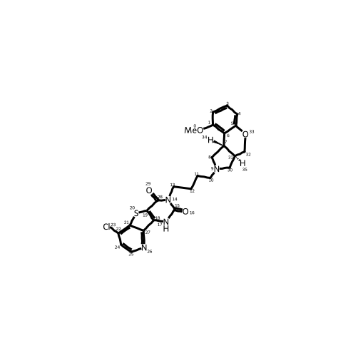 COc1cccc2c1[C@H]1CN(CCCCn3c(=O)[nH]c4c(sc5c(Cl)ccnc54)c3=O)C[C@@H]1CO2